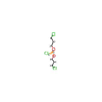 ClCCCOP(Cl)OCCCCl